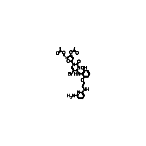 CC(=O)OC[C@H]1OC(n2cc(Br)c(Nc3c(O)cccc3OCCNc3cccc(N)n3)nc2=O)C[C@H]1OC(C)=O